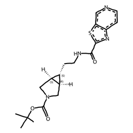 CC(C)(C)OC(=O)N1C[C@@H]2[C@@H](CCNC(=O)c3nc4ccncc4s3)[C@@H]2C1